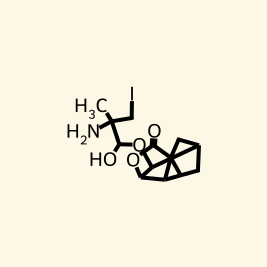 CC(N)(CI)C(O)OC1C2CC3C4C1OC(=O)C34C2